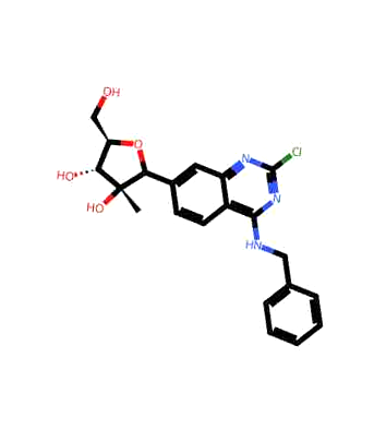 C[C@]1(O)C(c2ccc3c(NCc4ccccc4)nc(Cl)nc3c2)O[C@H](CO)[C@H]1O